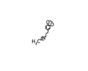 CC1CN(CCCc2ccc3c(c2)OCCO3)C1